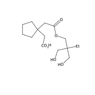 CCC(CO)(CO)COC(=O)CC1(CC(=O)O)CCCC1